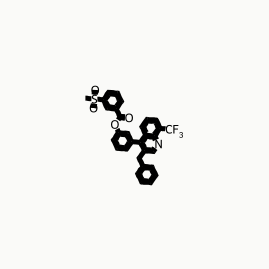 CS(=O)(=O)c1cccc(C(=O)Oc2cccc(-c3c(Cc4ccccc4)cnc4c(C(F)(F)F)cccc34)c2)c1